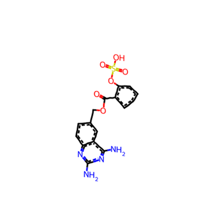 Nc1nc(N)c2cc(COC(=O)c3ccccc3OS(=O)(=O)O)ccc2n1